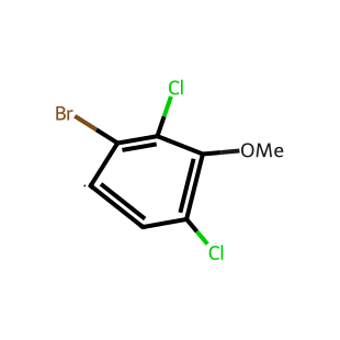 COc1c(Cl)c[c]c(Br)c1Cl